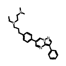 CCN(CCCc1ccc(-c2cnc3c(-c4ccccc4)cnn3c2)cc1)CCN(C)C